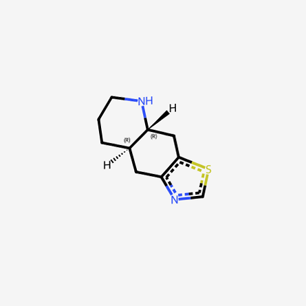 c1nc2c(s1)C[C@H]1NCCC[C@@H]1C2